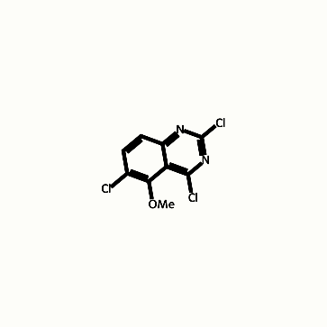 COc1c(Cl)ccc2nc(Cl)nc(Cl)c12